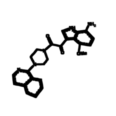 COc1ccc(N)c2[nH]cc(C(=O)C(=O)N3CCN(c4nccc5ccccc45)CC3)c12